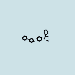 O=C1NC(=O)C(Oc2ccc(Oc3ccc(-c4ccccc4)cc3)cc2)(C2CCCCC2)C(=O)N1